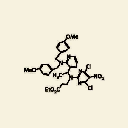 CCOC(=O)CCN(c1nc(Cl)c([N+](=O)[O-])c(Cl)n1)C(C)c1cccnc1N(Cc1ccc(OC)cc1)Cc1ccc(OC)cc1